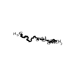 CC/C=C\C/C=C\C/C=C\C/C=C\C/C=C\C/C=C\CCC(=O)NCCOCCNC(=O)c1ccc(CC)nc1